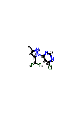 Cc1cc(C(F)F)n(-c2cc(Cl)ncn2)n1